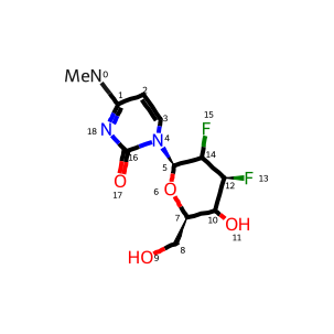 CNc1ccn([C@@H]2O[C@H](CO)C(O)[C@H](F)C2F)c(=O)n1